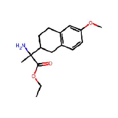 CCOC(=O)C(C)(N)C1CCc2cc(OC)ccc2C1